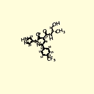 C[C@@H](CO)NC(=O)c1cc(-c2ccc(C(F)(F)F)cc2)nn(-c2cn[nH]c2)c1=O